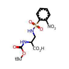 CC(C)(C)OC(=O)NC(CNS(=O)(=O)c1ccccc1[N+](=O)[O-])C(=O)O